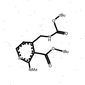 CNc1nccc(CNC(=O)OC(C)(C)C)c1C(=O)OC(C)(C)C